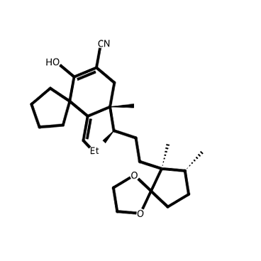 CC/C=C1/C2(CCCC2)C(O)=C(C#N)C[C@]1(C)[C@H](C)CC[C@@]1(C)[C@H](C)CCC12OCCO2